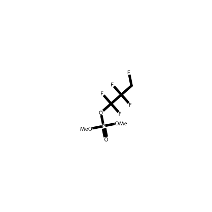 COP(=O)(OC)OC(F)(F)C(F)(F)CF